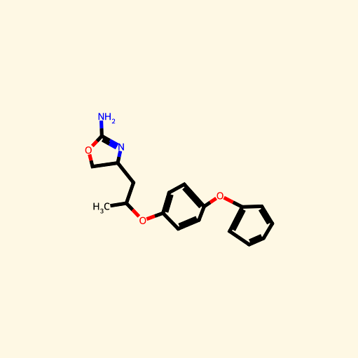 CC(CC1COC(N)=N1)Oc1ccc(Oc2ccccc2)cc1